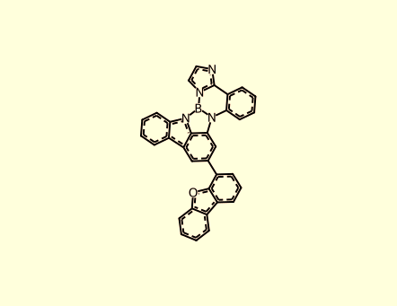 c1ccc2c(c1)-c1nccn1B1N2c2cc(-c3cccc4c3oc3ccccc34)cc3c4ccccc4n1c23